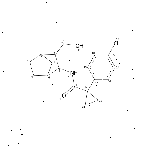 O=C(NC1C2CCC(C2)C1CO)C1(c2ccc(Cl)cc2)CC1